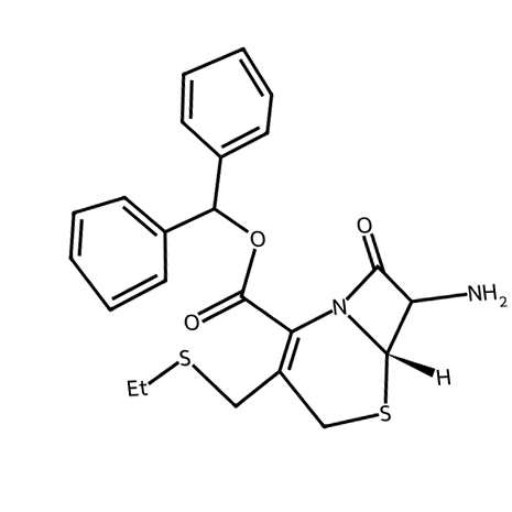 CCSCC1=C(C(=O)OC(c2ccccc2)c2ccccc2)N2C(=O)C(N)[C@@H]2SC1